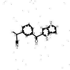 CC(C#N)c1cccc(C(=O)c2cc3sccc3s2)c1